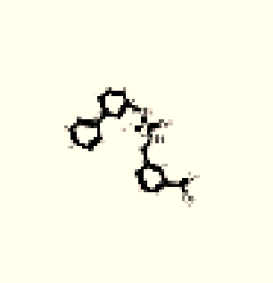 O=C(O)c1cccc(CNS(=O)(=O)Nc2cccc(-c3ccccc3)c2)c1